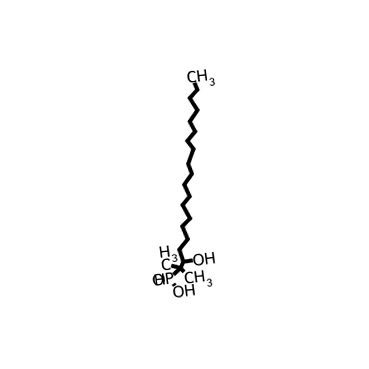 CCCCCCCCCCCCCCCCCC(O)C(C)(C)[PH](=O)O